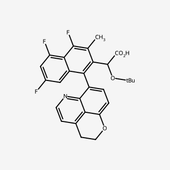 Cc1c(C(OC(C)(C)C)C(=O)O)c(-c2ccc3c4c(ccnc24)CCO3)c2cc(F)cc(F)c2c1F